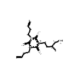 C=CCCn1c(=O)n(CCC=C)c(=O)n(CCC(C)CO)c1=O